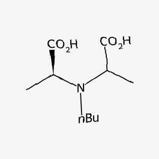 CCCCN(C(C)C(=O)O)[C@@H](C)C(=O)O